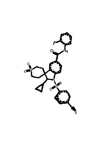 N#Cc1ccc(S(=O)(=O)N2c3ccc(C(=O)Nc4ccccc4F)cc3C3(CCS(=O)(=O)CC3)C2C2CC2)cc1